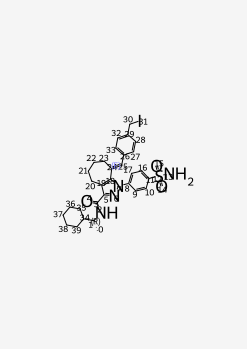 C[C@@H](NC(=O)c1nn(-c2ccc(S(N)(=O)=O)cc2)c2c1CCCC/C2=C\c1ccc(CI)cc1)C1CCCCC1